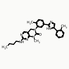 CCCCNc1ncc2c(n1)N(C)C(=O)N(c1cc(-c3ncc(-c4ccccc4C)[nH]3)ccc1C)C2